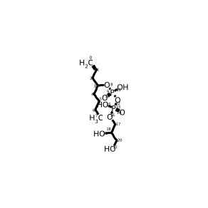 C=CCC(CCCC)OP(=O)(O)OP(=O)(O)OCC(O)CO